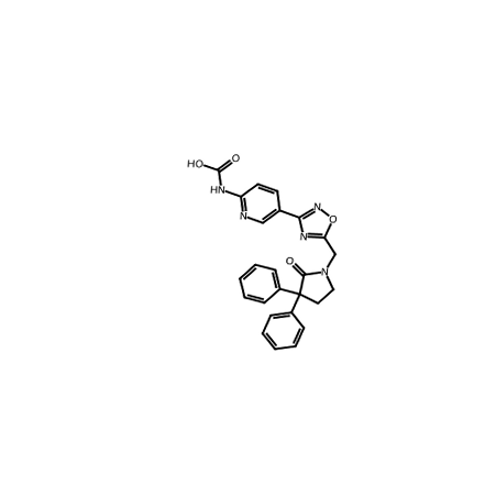 O=C(O)Nc1ccc(-c2noc(CN3CCC(c4ccccc4)(c4ccccc4)C3=O)n2)cn1